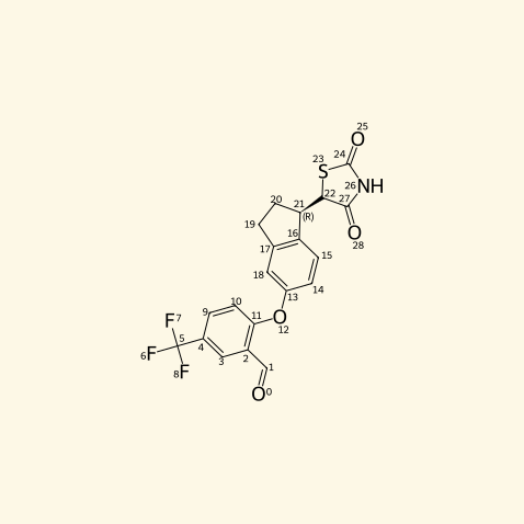 O=Cc1cc(C(F)(F)F)ccc1Oc1ccc2c(c1)CC[C@H]2C1SC(=O)NC1=O